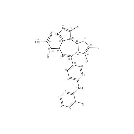 Cc1ccccc1Nc1ccc(C2=NC([C@H](C)C(=O)O)c3nnc(C)n3-c3sc(C)c(C)c32)cc1